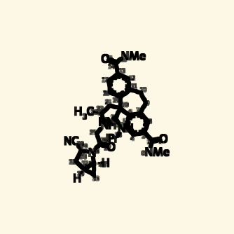 CNC(=O)c1ccc2c(c1)CCc1cc(C(=O)NC)ccc1C2(C[C@@H](C)NCC(=O)N1[C@H](C#N)C[C@@H]2C[C@@H]21)C(=N)NC(C)C